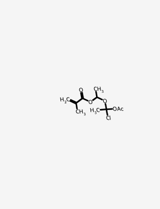 C=C(C)C(=O)OC(C)OC(C)(Cl)OC(C)=O